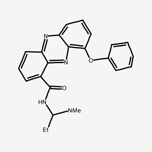 CCC(NC)NC(=O)c1cccc2nc3cccc(Oc4ccccc4)c3nc12